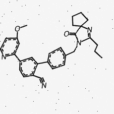 CCCC1=NC2(CCCC2)C(=O)N1Cc1ccc(-c2cc(-c3cc(OC)ccn3)ccc2C#N)cc1